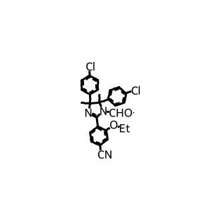 CCOc1cc(C#N)ccc1C1=NC(C)(c2ccc(Cl)cc2)C(C)(c2ccc(Cl)cc2)N1[C]=O